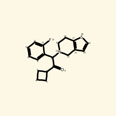 O=C(C1CCC1)C(c1ccccc1F)N1CCc2sccc2C1